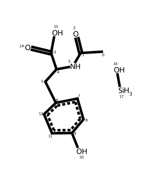 CC(=O)NC(Cc1ccc(O)cc1)C(=O)O.O[SiH3]